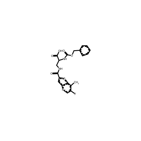 Cc1c(F)cnc2cc(C(=O)NCC(NC(=O)OCc3ccccc3)C(=O)O)sc12